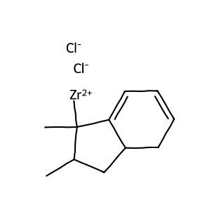 CC1CC2CC=CC=C2[C]1(C)[Zr+2].[Cl-].[Cl-]